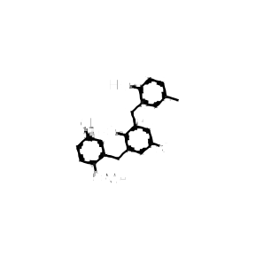 COc1ccc(Cl)cc1Cc1cc(Cl)cc(Cc2cc(C)ccc2O)c1OC